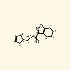 O=C(NCC1CC=CS1)c1noc2c1CCCC2